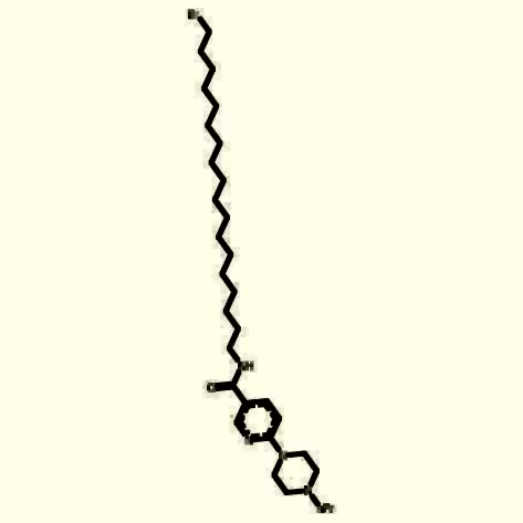 CCCN1CCN(c2ccc(C(=O)NCCCCCCCCCCCCCCCCCCBr)cn2)CC1